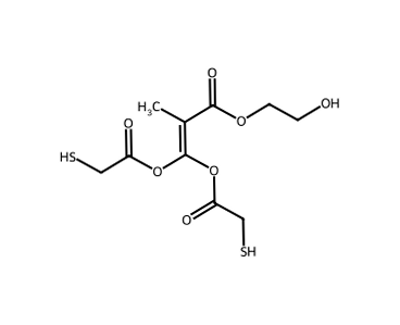 CC(C(=O)OCCO)=C(OC(=O)CS)OC(=O)CS